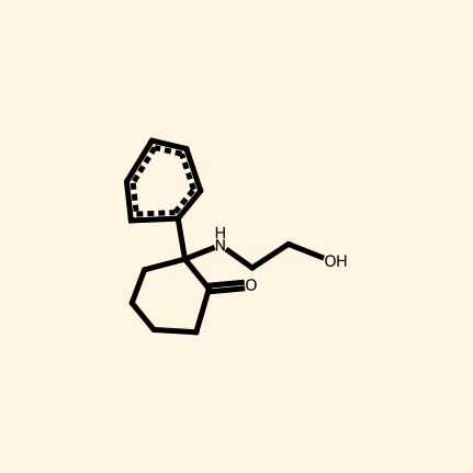 O=C1CCCCC1(NCCO)c1ccccc1